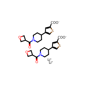 O=C([O-])c1cc(C2CCN(C(=O)C3COC3)CC2)cs1.O=C([O-])c1cc(C2CCN(C(=O)C3COC3)CC2)cs1.[Li+].[Li+]